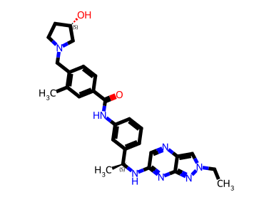 CCn1cc2ncc(N[C@@H](C)c3cccc(NC(=O)c4ccc(CN5CC[C@H](O)C5)c(C)c4)c3)nc2n1